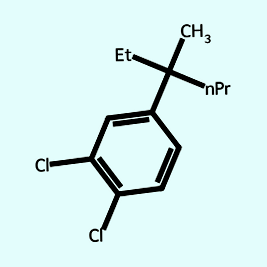 CCCC(C)(CC)c1ccc(Cl)c(Cl)c1